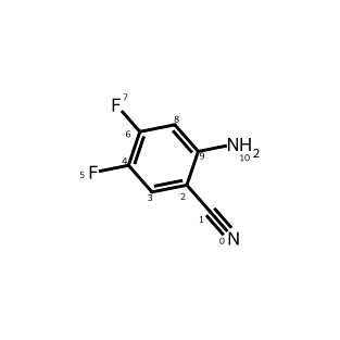 N#Cc1cc(F)c(F)cc1N